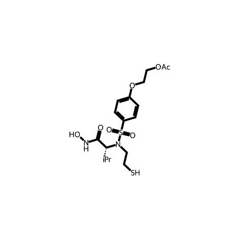 CC(=O)OCCOc1ccc(S(=O)(=O)N(CCS)[C@@H](C(=O)NO)C(C)C)cc1